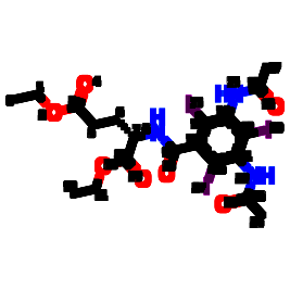 CCOC(=O)CC[C@H](NC(=O)c1c(I)c(NC(C)=O)c(I)c(NC(C)=O)c1I)C(=O)OCC